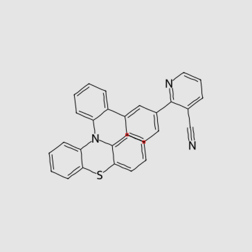 N#Cc1cccnc1-c1cccc(-c2ccccc2N2c3ccccc3Sc3ccccc32)c1